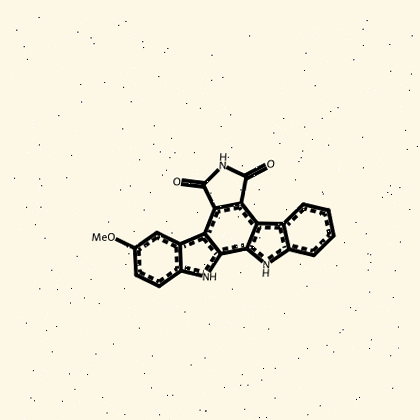 COc1ccc2[nH]c3c4[nH]c5ccccc5c4c4c(c3c2c1)C(=O)NC4=O